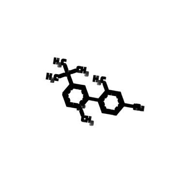 Cc1cc(C(C)(C)C)ccc1-c1cc([Si](C)(C)C)cc[n+]1C